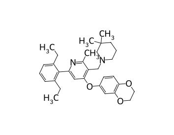 CCc1cccc(CC)c1-c1cc(Oc2ccc3c(c2)OCCO3)c(CN2CCCC(C)(C)C2)c(C)n1